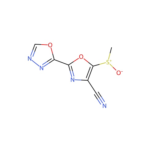 C[S+]([O-])c1oc(-c2nnco2)nc1C#N